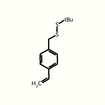 C=Cc1ccc(CSSC(C)(C)C)cc1